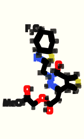 COC(=O)COC(=O)Cc1nn(Cc2nc3cc(C(F)(F)F)ccc3s2)c(=O)c2cscc12